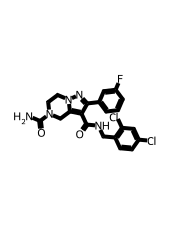 NC(=O)N1CCn2nc(-c3cccc(F)c3)c(C(=O)NCc3ccc(Cl)cc3Cl)c2C1